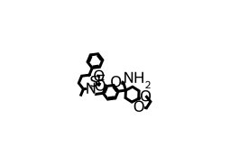 CC1CCC(c2ccccc2)S(=O)(=O)N1Cc1ccc(C2(C(N)=O)CCC3(CC2)OCCO3)cc1F